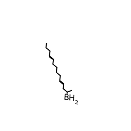 BC(C)CC=CCCCCC=CCCC